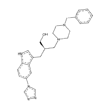 OC[C@H](Cc1c[nH]c2ccc(-n3cnnc3)cc12)CN1CCN(Cc2ccccc2)CC1